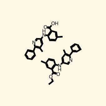 CCOC(=O)c1cc(C)ccc1Nc1cnc(-c2ccccc2)c(C)c1.Cc1ccc(Nc2cnc(-c3ccccc3)c(C)c2)c(C(=O)O)c1